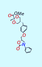 COC(=O)[C@]1(C)OC[C@H](Cc2ccc(OCC3CN(c4ccccc4)C(=O)O3)cc2)CO1